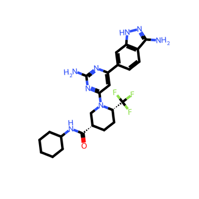 Nc1nc(-c2ccc3c(N)n[nH]c3c2)cc(N2C[C@@H](C(=O)NC3CCCCC3)CC[C@H]2C(F)(F)F)n1